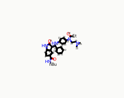 CCCCNC(=O)c1ccc2c(c1)/C(=C(/Nc1ccc(N(CCN(C)C)C(=O)CC)cc1)c1ccccc1)C(=O)N2